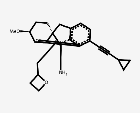 CO[C@H]1CC[C@]2(CC1)Cc1ccc(C#CC3CC3)cc1[C@]21N=C(N)N(CC2CCO2)C1=O